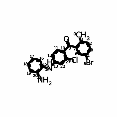 Cc1ccc(Br)cc1C(=O)c1ccc(Nc2ccccc2N)cc1Cl